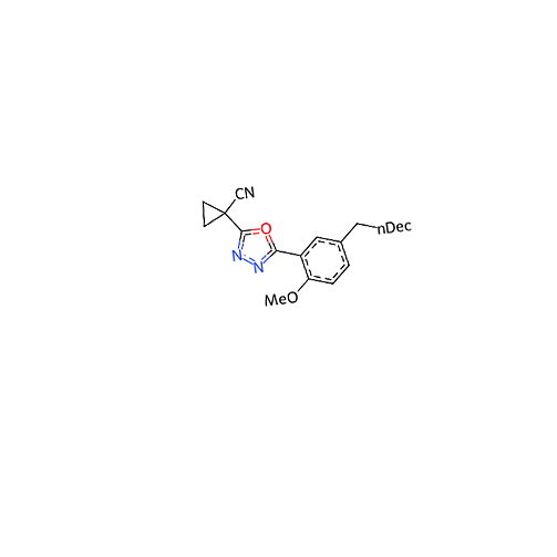 CCCCCCCCCCCc1ccc(OC)c(-c2nnc(C3(C#N)CC3)o2)c1